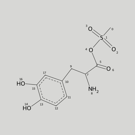 CS(=O)(=O)OC(=O)C(N)Cc1ccc(O)c(O)c1